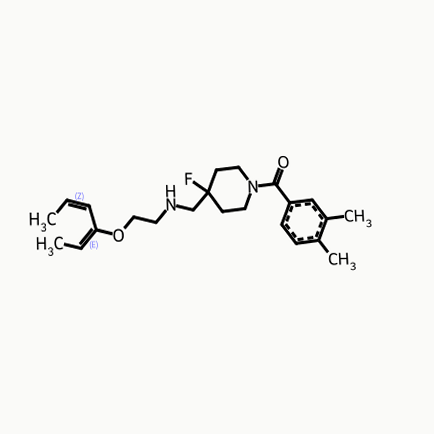 C/C=C\C(=C/C)OCCNCC1(F)CCN(C(=O)c2ccc(C)c(C)c2)CC1